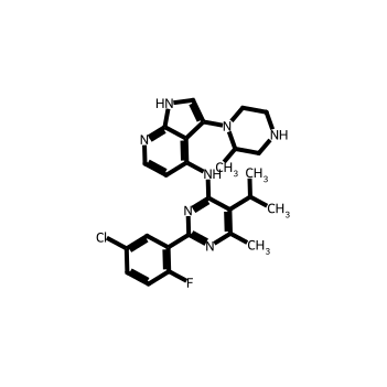 Cc1nc(-c2cc(Cl)ccc2F)nc(Nc2ccnc3[nH]cc(N4CCNCC4C)c23)c1C(C)C